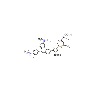 C=C1C=C(/C=C(\C#N)C(=O)O)SCC(c2cc(CCCCCC)c(-c3ccc(C=C(c4ccc(N(C)C)cc4)c4ccc(N(C)C)cc4)cc3)s2)S1